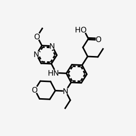 CCC(CC(=O)O)c1ccc(N(CC)C2CCOCC2)c(Nc2cnc(OC)nc2)c1